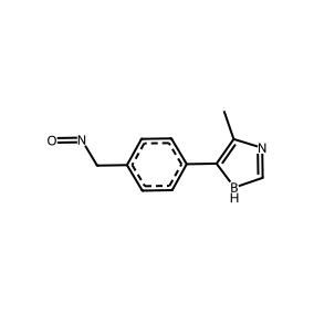 CC1=C(c2ccc(CN=O)cc2)BC=N1